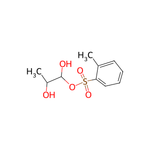 Cc1ccccc1S(=O)(=O)OC(O)C(C)O